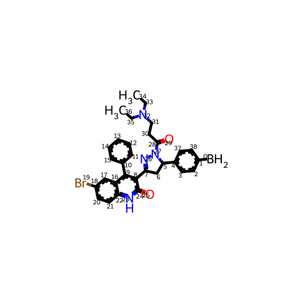 Bc1ccc(C2CC(c3c(-c4ccccc4)c4cc(Br)ccc4[nH]c3=O)=NN2C(=O)CCN(CC)CC)cc1